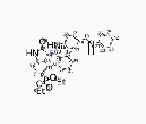 CCOP(=O)(OCC)c1ccc2c(c1)/C(=C(/Nc1ccc(CNc3ccccc3)cc1)c1ccccc1)C(=O)N2